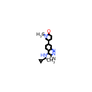 C[C@@H](Nc1c(C#N)nnc2cc(-c3ccc(=O)n(C)c3)ccc12)C1CC1